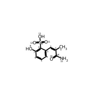 CC(=Cc1cccc(O)c1S(=O)(=O)O)C(N)=O